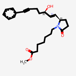 COC(=O)CCCCCCN1C(=O)CC[C@@H]1/C=C/[C@H](O)CCC#Cc1ccccc1